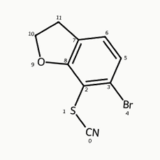 N#CSc1c(Br)ccc2c1OCC2